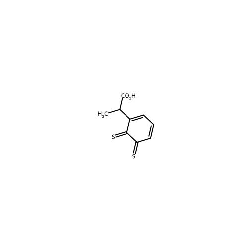 CC(C(=O)O)C1=CC=CC(=S)C1=S